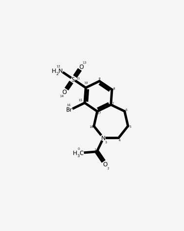 CC(=O)N1CCCc2ccc(S(N)(=O)=O)c(Br)c2C1